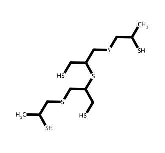 CC(S)CSCC(CS)SC(CS)CSCC(C)S